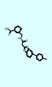 O=NC(=O)c1cccc(CNC(=O)Cc2nc3ccc(-c4ccc(F)cc4)cc3s2)c1